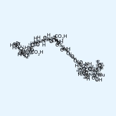 CCCNC(=O)Nc1cccc(S(=O)(=O)Nc2cccc([C@@H](CC(=O)O)NC(=O)Nc3ccc(NC(=O)NCCNC(=O)CNC(=O)CC(C)(CC(=O)O)SCNC(=O)CCCC(=O)NCCOCCOCCOCCC(=O)N[C@@H](CC(N)=O)C(=O)N4CCC[C@H]4C(=O)N[C@H](C(=O)NCCCN(C(=O)CO)[C@@H](c4cc(-c5cc(F)ccc5F)cn4Cc4ccccc4)C(C)(C)C)C(C)C)cc3)c2)c1